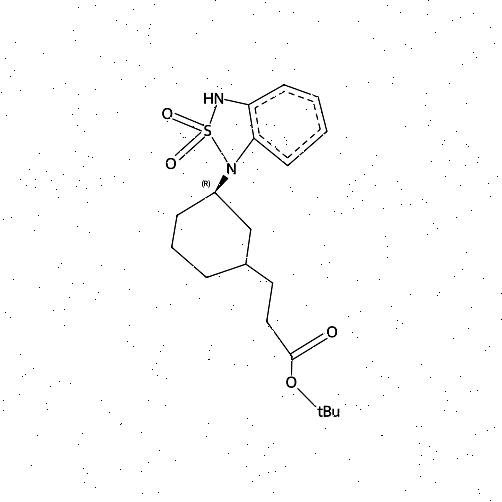 CC(C)(C)OC(=O)CCC1CCC[C@@H](N2c3ccccc3NS2(=O)=O)C1